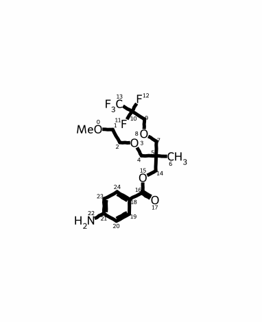 COCCOCC(C)(COCC(F)(F)C(F)(F)F)COC(=O)c1ccc(N)cc1